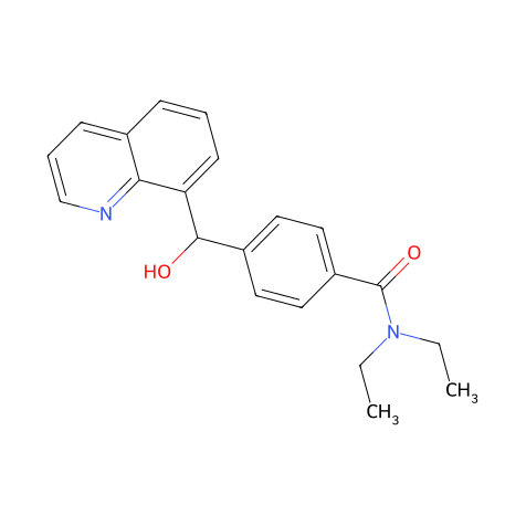 CCN(CC)C(=O)c1ccc(C(O)c2cccc3cccnc23)cc1